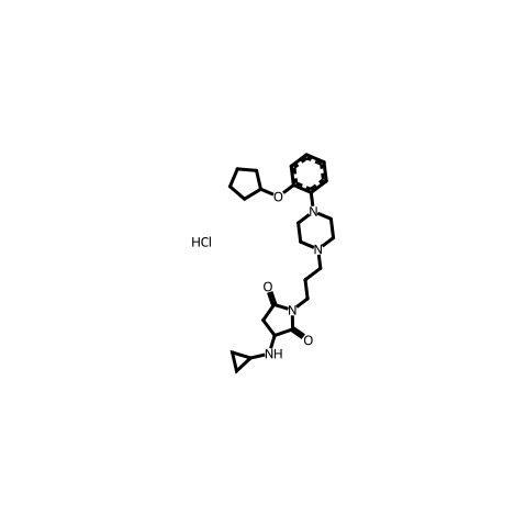 Cl.O=C1CC(NC2CC2)C(=O)N1CCCN1CCN(c2ccccc2OC2CCCC2)CC1